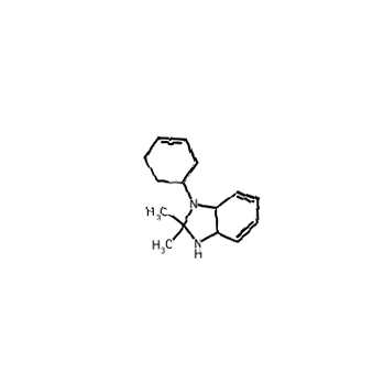 CC1(C)NC2C=CC=CC2N1C1CC=CCC1